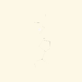 CC(C)(C)OC(=O)N1CC[C@@H](/C=N/[S@+]([O-])C(C)(C)C)C1